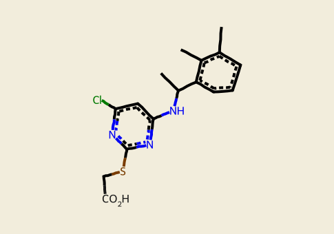 Cc1cccc(C(C)Nc2cc(Cl)nc(SCC(=O)O)n2)c1C